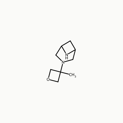 CC1(N2CC3CC(C2)N3)COC1